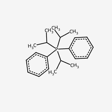 CC(C)P(c1ccccc1)(c1ccccc1)(C(C)C)C(C)C